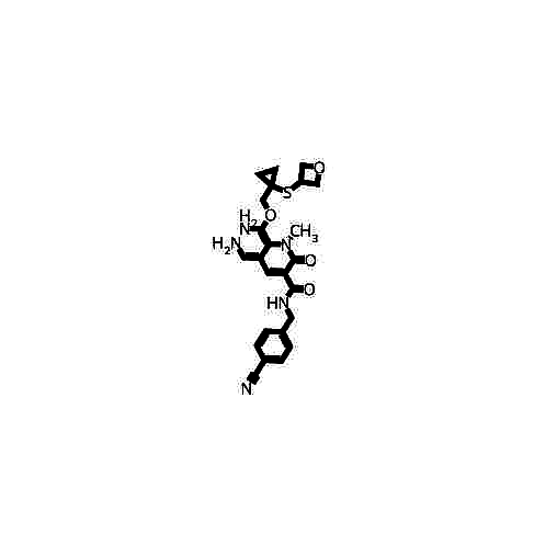 Cn1c(=O)c(C(=O)NCc2ccc(C#N)cc2)cc(=C/N)/c1=C(\N)OCC1(SC2COC2)CC1